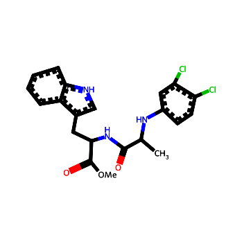 COC(=O)C(Cc1c[nH]c2ccccc12)NC(=O)C(C)Nc1ccc(Cl)c(Cl)c1